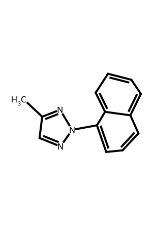 Cc1cnn(-c2cccc3ccccc23)n1